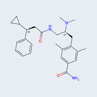 Cc1cc(C(N)=O)cc(C)c1C[C@@H](CNC(=O)C[C@@H](c1ccccc1)C1CC1)N(C)C